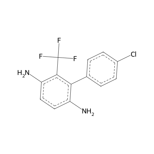 Nc1ccc(N)c(C(F)(F)F)c1-c1ccc(Cl)cc1